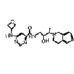 CC(C(O)CNC(=O)c1cc(NC2COC2)ncn1)N1CCc2ccccc2C1